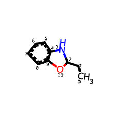 CCC1Nc2ccccc2O1